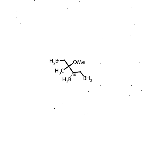 BC[C@H](B)C(C)(CB)OC